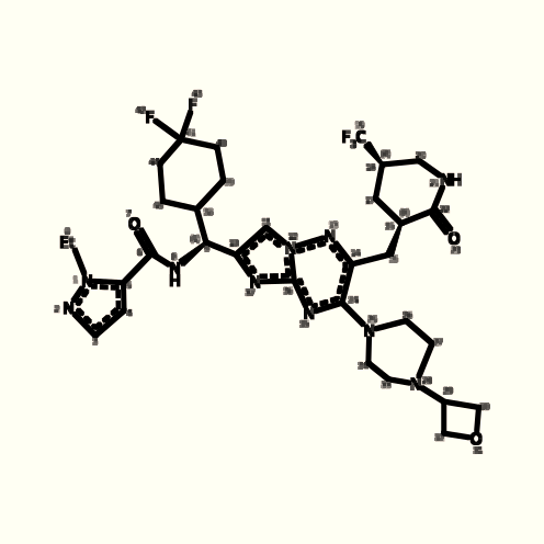 CCn1nccc1C(=O)N[C@H](c1cn2nc(C[C@H]3C[C@@H](C(F)(F)F)CNC3=O)c(N3CCN(C4COC4)CC3)nc2n1)C1CCC(F)(F)CC1